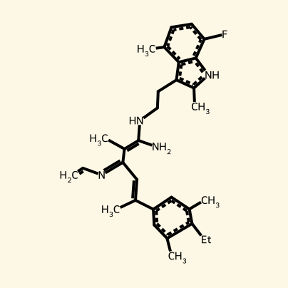 C=C/N=C(/C=C(\C)c1cc(C)c(CC)c(C)c1)C(\C)=C(/N)NCCc1c(C)[nH]c2c(F)ccc(C)c12